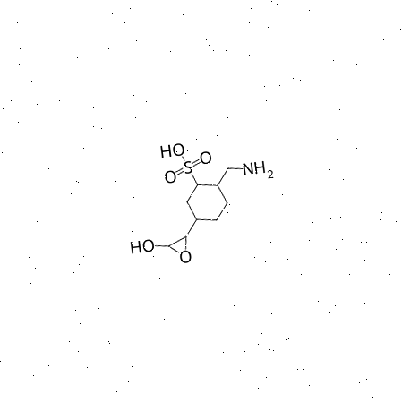 NCC1CCC(C2OC2O)CC1S(=O)(=O)O